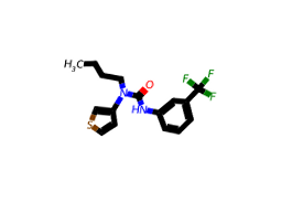 CCCCN(C(=O)Nc1cccc(C(F)(F)F)c1)c1ccsc1